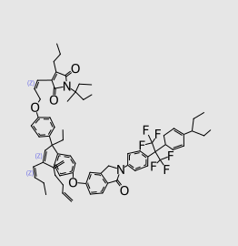 C=CCCC(=C)C(/C=C\CC)=C\C(CC)(c1ccc(OC/C=C\C2=C(CCC)C(=O)N(C(C)(CC)CC)C2=O)cc1)c1ccc(Oc2ccc3c(c2)CN(c2ccc(C(C4C=CC(C(CC)CC)=CC4)(C(F)(F)F)C(F)(F)F)cc2)C3=O)cc1